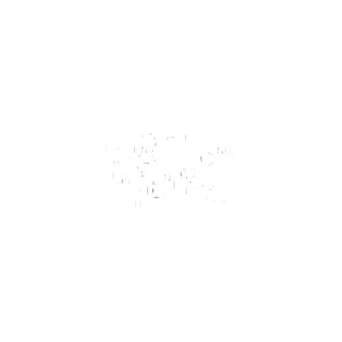 CC[C@H](C)[C@H](NC(=O)[C@H]1C[C@H](C)CCN1C)C(=O)N(CC)[C@H](C[C@@H](OC(C)=O)c1nc(C(=O)N[C@@H](Cc2ccc(N)cc2)C[C@H](C)C(=O)OC)cs1)C(C)C